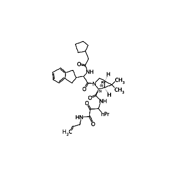 C=CCNC(=O)C(=O)C(CCC)NC(=O)[C@@H]1[C@H]2[C@@H](CN1C(=O)C(NC(=O)CC1CCCC1)C1Cc3ccccc3C1)C2(C)C